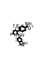 NC(=O)c1ccc(-c2ccc(F)nc2Nc2ccc3cn[nH]c3c2)c(C(F)(F)F)c1